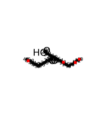 CCCCCCCC/C=C\CCCCCCCC(=O)CC(CCCCC(=O)O)C(=O)CCCCCCC/C=C\CCCCCCCC